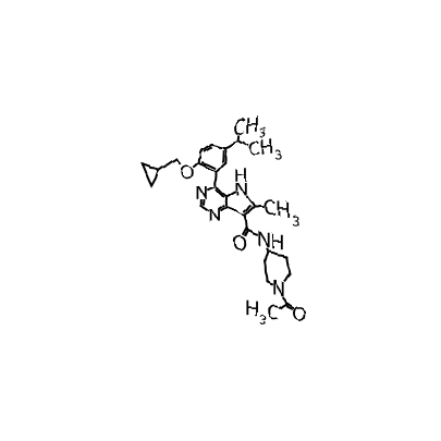 CC(=O)N1CCC(NC(=O)c2c(C)[nH]c3c(-c4cc(C(C)C)ccc4OCC4CC4)ncnc23)CC1